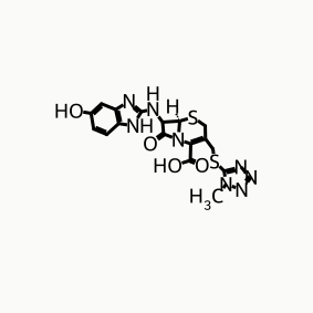 Cn1nnnc1SCC1=C(C(=O)O)N2C(=O)C(Nc3nc4cc(O)ccc4[nH]3)[C@H]2SC1